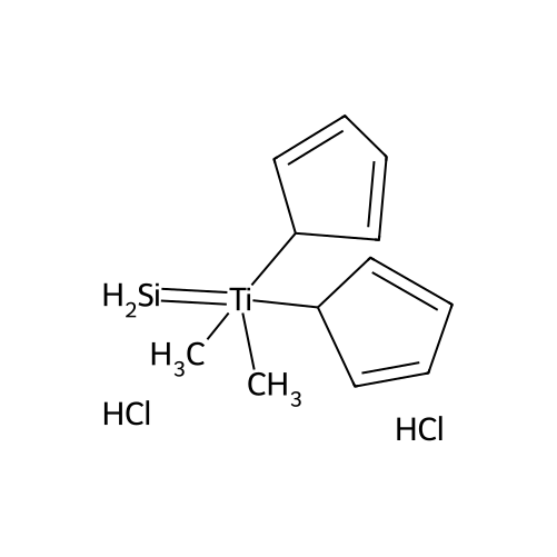 Cl.Cl.[CH3][Ti]([CH3])(=[SiH2])([CH]1C=CC=C1)[CH]1C=CC=C1